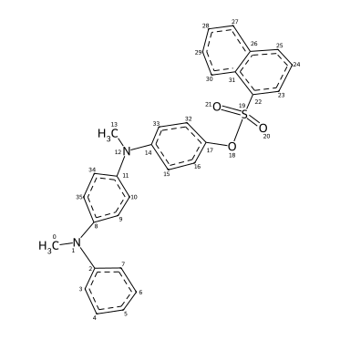 CN(c1ccccc1)c1ccc(N(C)c2ccc(OS(=O)(=O)c3cccc4ccccc34)cc2)cc1